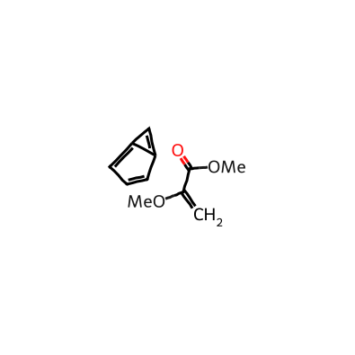 C=C(OC)C(=O)OC.c1cc2cc-2c1